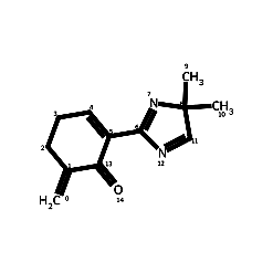 C=C1CCC=C(C2=NC(C)(C)C=N2)C1=O